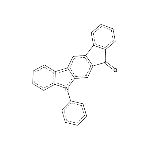 O=C1c2ccccc2-c2cc3c4ccccc4n(-c4ccccc4)c3cc21